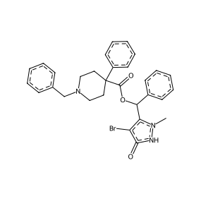 Cn1[nH]c(=O)c(Br)c1C(OC(=O)C1(c2ccccc2)CCN(Cc2ccccc2)CC1)c1ccccc1